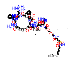 CCCCCCCCCCCCCCCC(=O)NS(=O)(=O)CCCC(=O)NCCOCCOCC(=O)N[C@@H](Cc1c[nH]cn1)C(=O)C[C@@H](CO)C(=O)N[C@@H](CCCC)C(=O)N[C@H]1CCC(=O)CCCCC[C@@H](C(N)=O)NC(=O)[C@H](Cc2c[nH]c3ccccc23)NC(=O)[C@H](CCCNC(=N)N)NC(=O)[C@@H](Cc2ccccc2)CC(=O)[C@@H]2C[C@@H](O)CN2C1=O